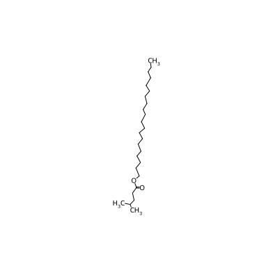 CCCCCCCCCCCCCCCCCCCCOC(=O)CCC(C)C